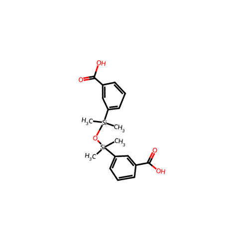 C[Si](C)(O[Si](C)(C)c1cccc(C(=O)O)c1)c1cccc(C(=O)O)c1